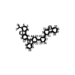 CC(C)c1cccc2c1oc1ccc(-n3c4ccccc4c4cc(-c5cccc(-c6ccc7oc8ccccc8c7c6)c5)ccc43)cc12